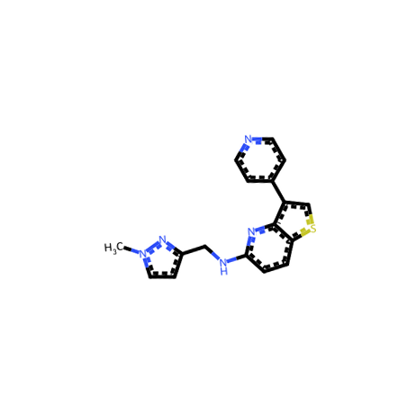 Cn1ccc(CNc2ccc3scc(-c4ccncc4)c3n2)n1